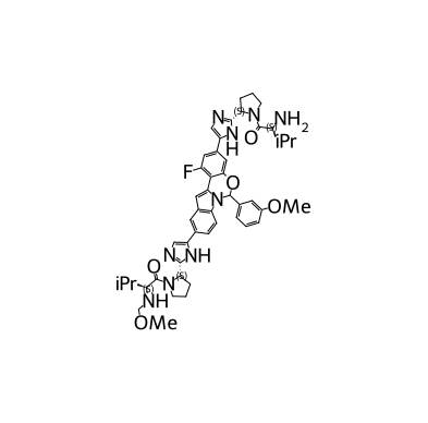 COCN[C@H](C(=O)N1CCC[C@H]1c1ncc(-c2ccc3c(c2)cc2n3C(c3cccc(OC)c3)Oc3cc(-c4cnc([C@@H]5CCCN5C(=O)[C@@H](N)C(C)C)[nH]4)cc(F)c3-2)[nH]1)C(C)C